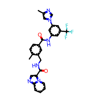 Cc1cn(-c2cc(NC(=O)c3ccc(C)c(CNC(=O)c4cnc5ccccn45)c3)cc(C(F)(F)F)c2)cn1